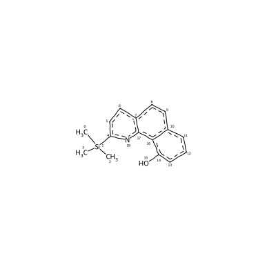 C[Si](C)(C)c1ccc2ccc3cccc(O)c3c2n1